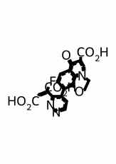 O=C(O)/C=C(/C(=O)O)c1nnccc1-c1c(F)cc2c(=O)c(C(=O)O)cn3c2c1OCC3